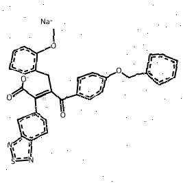 COc1ccccc1C/C(C(=O)c1ccc(OCc2ccccc2)cc1)=C(\C(=O)[O-])c1ccc2nsnc2c1.[Na+]